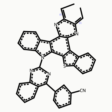 C/C=c1/nc2c(n/c1=C/C)c1c3ccccc3n(-c3nc(-c4cccc(C#N)c4)c4ccccc4n3)c1c1sc3ccccc3c21